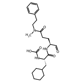 CN(CCc1ccccc1)C(=O)CC[C@@H](C=O)NC(=O)[C@H](CC1CCCCC1)NC(=O)O